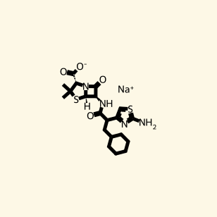 CC1(C)S[C@@H]2[C@H](NC(=O)C(CC3CCCCC3)c3csc(N)n3)C(=O)N2[C@H]1C(=O)[O-].[Na+]